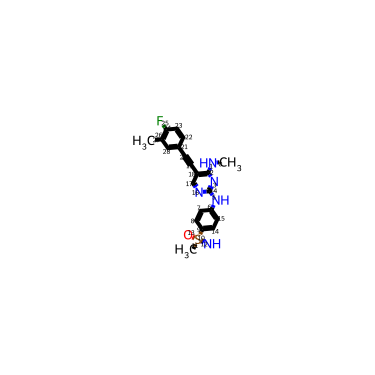 CNc1nc(Nc2ccc(S(C)(=N)=O)cc2)ncc1C#Cc1ccc(F)c(C)c1